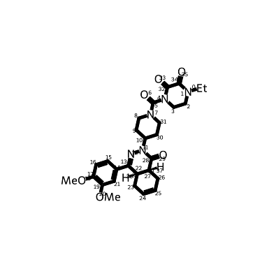 CCN1CCN(C(=O)N2CCC(N3N=C(c4ccc(OC)c(OC)c4)[C@H]4CC=CC[C@H]4C3=O)CC2)C(=O)C1=O